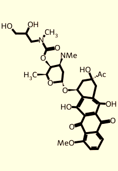 CN[C@H]1C[C@H](O[C@H]2C[C@](O)(C(C)=O)Cc3c(O)c4c(c(O)c32)C(=O)c2c(OC)cccc2C4=O)O[C@@H](C)[C@H]1OC(=O)N(C)CC(O)CO